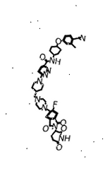 Cc1cc(OC2CCC(NC(=O)c3ccc(N4CCC(CN5CCN(c6cc7c(cc6F)C(=O)N([C@@H]6CCC(=O)NC6=O)C7=O)CC5)CC4)nn3)CC2)ccc1C#N